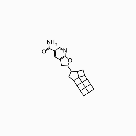 NC(=O)c1cnc2c(c1)CC(C1CC3C4C5CC6CC7C8C9CC1C39C48C657)O2